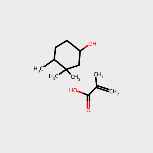 C=C(C)C(=O)O.CC1CCC(O)CC1(C)C